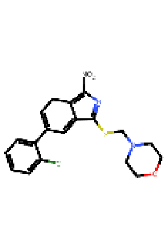 O=[N+]([O-])C1=C2CC=C(c3ccccc3Cl)C=C2C(SCN2CCOCC2)=N1